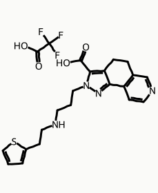 O=C(O)C(F)(F)F.O=C(O)c1c2c(nn1CCCNCCc1cccs1)-c1ccncc1CC2